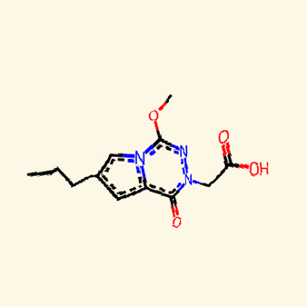 CCCc1cc2c(=O)n(CC(=O)O)nc(OC)n2c1